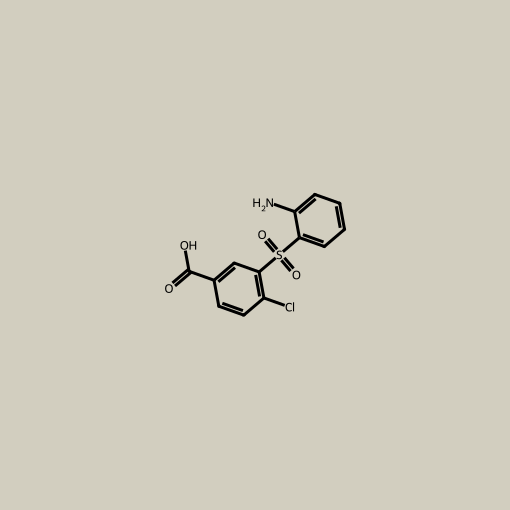 Nc1ccccc1S(=O)(=O)c1cc(C(=O)O)ccc1Cl